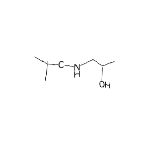 C[C](C)CNCC(C)O